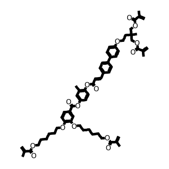 C=C(C)C(=O)OCCCCCCOc1ccc(C(=O)Oc2ccc(OC(=O)/C=C/c3ccc(-c4ccc(OCCC(C)(COC(=O)C(=C)C)COC(=O)C(=C)C)cc4)cc3)c(C)c2)cc1OCCCCCCOC(=O)C(=C)C